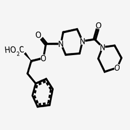 O=C(O)[C@H](Cc1ccccc1)OC(=O)N1CCN(C(=O)N2CCOCC2)CC1